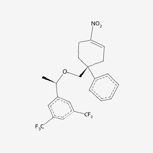 C[C@@H](OC[C@]1(c2ccccc2)CC=C([N+](=O)[O-])CC1)c1cc(C(F)(F)F)cc(C(F)(F)F)c1